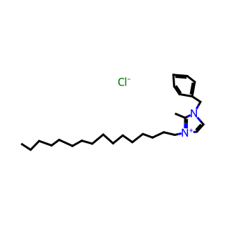 CCCCCCCCCCCCCCCC[n+]1ccn(Cc2ccccc2)c1C.[Cl-]